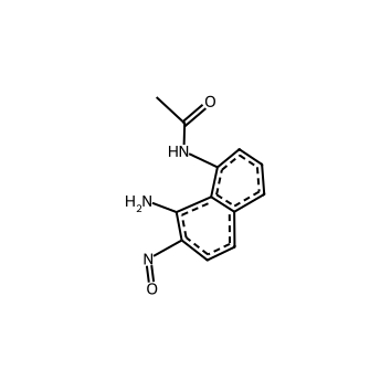 CC(=O)Nc1cccc2ccc(N=O)c(N)c12